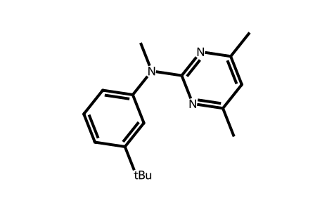 Cc1cc(C)nc(N(C)c2cccc(C(C)(C)C)c2)n1